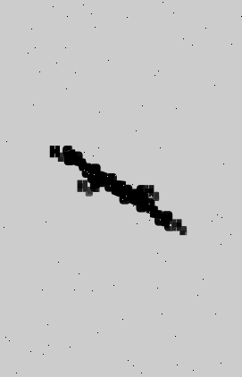 C=CC(=O)OCCCCOC(=O)Oc1ccc(C(=O)OC2=CC[C@H](OC(=O)c3ccc(OC(=O)OCCCCOC(=O)C=C)c(C)c3)C=C2)cc1C